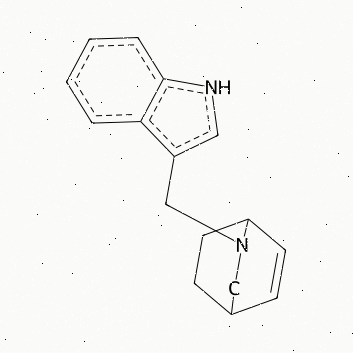 C1=CC2CCC1CN2Cc1c[nH]c2ccccc12